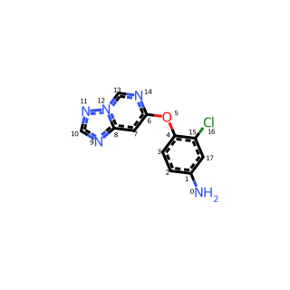 Nc1ccc(Oc2cc3ncnn3cn2)c(Cl)c1